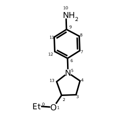 [CH2]COC1CCN(c2ccc(N)cc2)C1